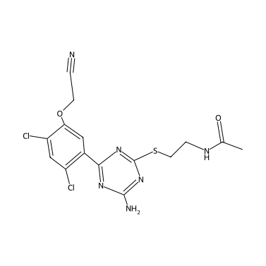 CC(=O)NCCSc1nc(N)nc(-c2cc(OCC#N)c(Cl)cc2Cl)n1